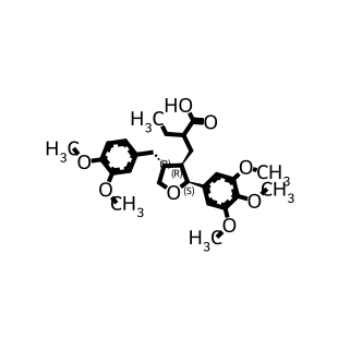 CCC(C[C@@H]1[C@@H](Cc2ccc(OC)c(OC)c2)CO[C@@H]1c1cc(OC)c(OC)c(OC)c1)C(=O)O